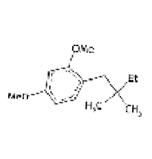 CCC(C)(C)Cc1ccc(OC)cc1OC